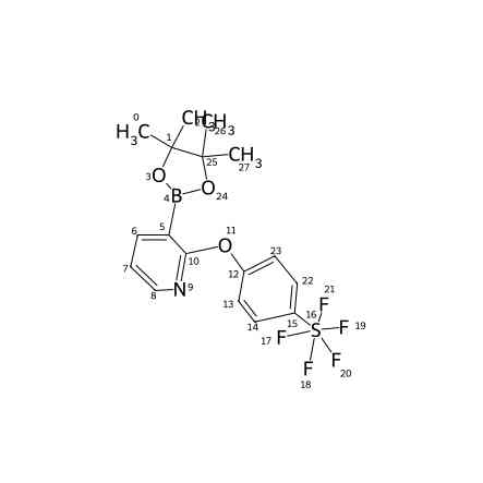 CC1(C)OB(c2cccnc2Oc2ccc(S(F)(F)(F)(F)F)cc2)OC1(C)C